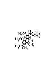 CCC(CC)Nc1nc(C)c(-c2c(OC)cc(C(C)C)cc2OC)nc1SC